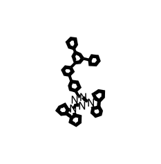 c1ccc(-c2cc(-c3ccccc3)cc(-c3cccc(-c4ccc(-c5nc(-n6c7ccccc7c7ccccc76)nc(-n6c7ccccc7c7ccccc76)n5)cc4)c3)c2)cc1